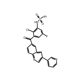 CCCS(=O)(=O)Nc1cc(F)cc(C(=O)c2ccc3ncc(-c4cccnc4)cc3c2)c1Cl